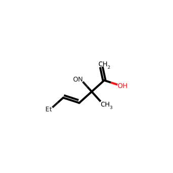 C=C(O)C(C)(C=CCC)N=O